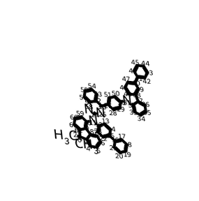 CC1(C)c2ccccc2-c2c(N(c3ccc(-c4ccccc4)cc3)c3nc(-c4ccc(-n5c6ccccc6c6cc(-c7ccccc7)ccc65)cc4)c4ccccc4n3)cccc21